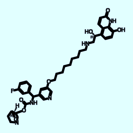 O=C(NC(c1cccc(F)c1)c1cncc(OCCCCCCCCCNC[C@H](O)c2ccc(O)c3[nH]c(=O)ccc23)c1)O[C@H]1CN2CCC1CC2